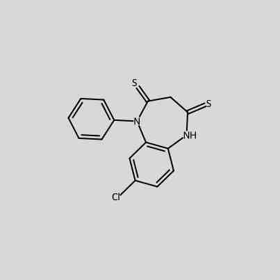 S=C1CC(=S)N(c2ccccc2)c2cc(Cl)ccc2N1